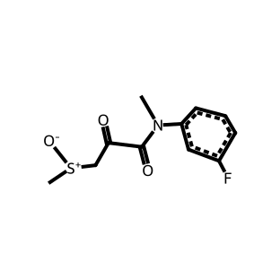 CN(C(=O)C(=O)C[S+](C)[O-])c1cccc(F)c1